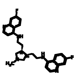 CN1C[C@@H](CCNc2ccnc3cc(F)ccc23)[C@@H](CCNc2ccnc3cc(F)ccc23)C1